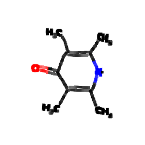 CC1=C(C)C(=O)C(C)=C(C)[N]1